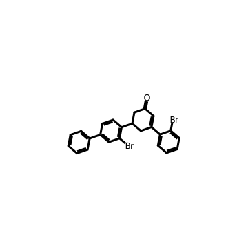 O=C1C=C(c2ccccc2Br)CC(c2ccc(-c3ccccc3)cc2Br)C1